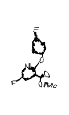 COC(=O)c1cc(F)cnc1Oc1ccc(F)cc1